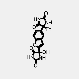 CCC1(c2ccc3oc(C4(O)NC(=O)NC4=O)cc3c2)NC(=O)NC1=O